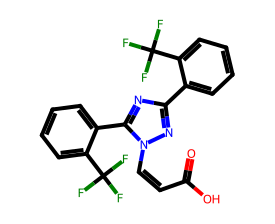 O=C(O)/C=C\n1nc(-c2ccccc2C(F)(F)F)nc1-c1ccccc1C(F)(F)F